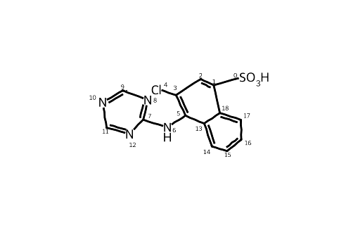 O=S(=O)(O)c1cc(Cl)c(Nc2n[c]ncn2)c2ccccc12